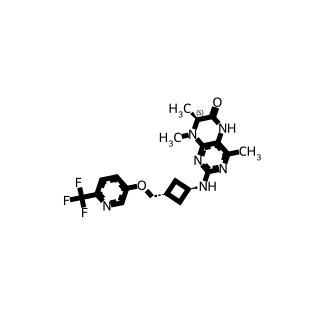 Cc1nc(N[C@H]2C[C@@H](COc3ccc(C(F)(F)F)nc3)C2)nc2c1NC(=O)[C@H](C)N2C